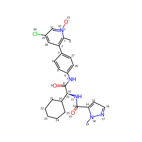 Cc1c(-c2ccc(NC(=O)[C@@H](NC(=O)c3ccnn3C)C3CCCCC3)cc2)cc(Cl)c[n+]1[O-]